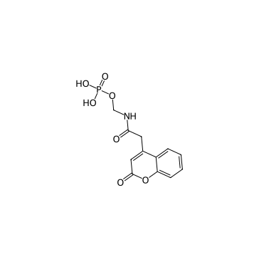 O=C(Cc1cc(=O)oc2ccccc12)NCOP(=O)(O)O